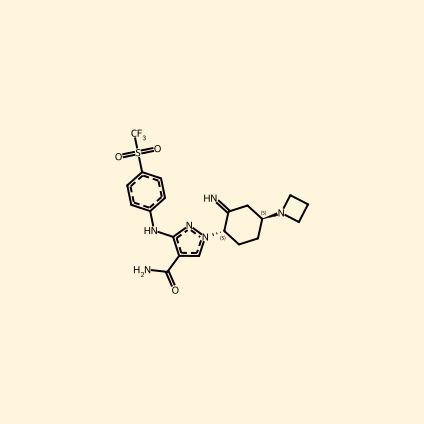 N=C1C[C@@H](N2CCC2)CC[C@@H]1n1cc(C(N)=O)c(Nc2ccc(S(=O)(=O)C(F)(F)F)cc2)n1